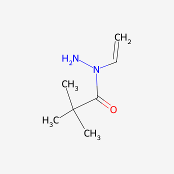 C=CN(N)C(=O)C(C)(C)C